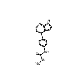 CCCCNC(=O)Nc1ccc(-c2ccnc3[nH]ccc23)cc1